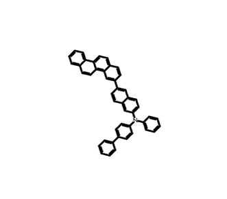 c1ccc(-c2ccc(N(c3ccccc3)c3ccc4cc(-c5ccc6ccc7c8ccccc8ccc7c6c5)ccc4c3)cc2)cc1